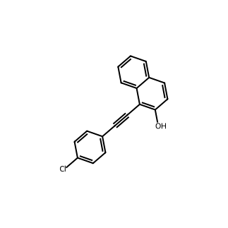 Oc1ccc2ccccc2c1C#Cc1ccc(Cl)cc1